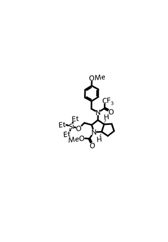 CC[Si](CC)(CC)OCC1C(N(Cc2ccc(OC)cc2)C(=O)C(F)(F)F)[C@H]2CCC[C@H]2N1C(=O)OC